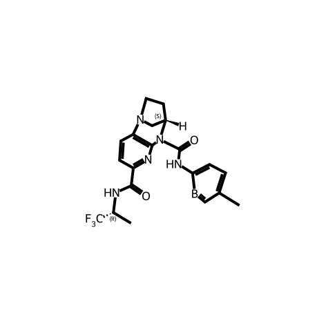 Cc1cbc(NC(=O)N2c3nc(C(=O)N[C@H](C)C(F)(F)F)ccc3N3CC[C@H]2C3)cc1